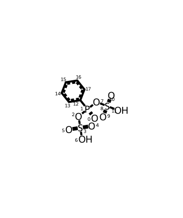 O=P(OS(=O)(=O)O)(OS(=O)(=O)O)c1ccccc1